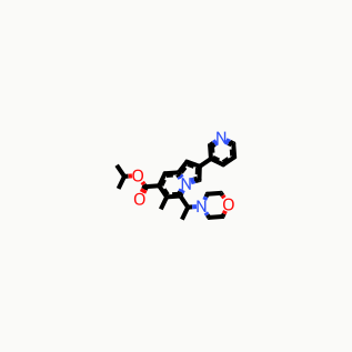 Cc1c(C(=O)OC(C)C)cc2cc(-c3cccnc3)cn2c1C(C)N1CCOCC1